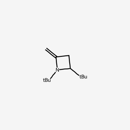 C=C1CC(C(C)(C)C)N1C(C)(C)C